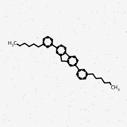 CCCCCCc1cccc(-c2ccc3c(c2)Cc2cc(-c4cccc(CCCCCC)c4)ccc2-3)c1